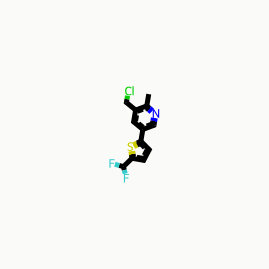 Cc1ncc(-c2ccc(C(F)F)s2)cc1CCl